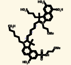 COCCNS(=O)(=O)c1cc(S(=O)(=O)O)c2ccc3c(c2c1)C(C)(C)\C(=C/C=C/C=C/C1=[N+](CCOC)c2ccc4c(S(=O)(=O)O)cc(S(=O)(=O)O)cc4c2C1(C)CCCS(=O)(=O)O)N3CCCCCC(=O)O